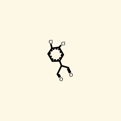 O=CC(C=O)c1ccc(Cl)c(Cl)c1